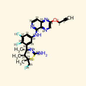 C#CCOc1cnc2c(Nc3cc(F)c(F)c([C@@]4(C)N=C(N)S[C@](C)(CF)[C@H]4C)c3)nccc2n1